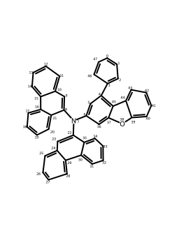 c1ccc(-c2cc(N(c3cc4ccccc4c4ccccc34)c3cc4ccccc4c4ccccc34)cc3oc4ccccc4c23)cc1